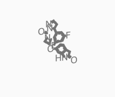 O=C1Cc2ccc(OC3CN(C(=O)N4N=CCC4c4cc(F)cc(F)c4)C3)cc2N1